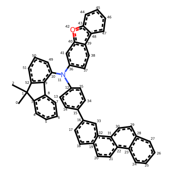 CC1(C)c2ccccc2-c2c(N(c3ccc(-c4ccc5ccc6c7ccccc7ccc6c5c4)cc3)c3ccc4c(c3)oc3ccccc34)cccc21